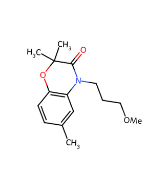 COCCCN1C(=O)C(C)(C)Oc2ccc(C)cc21